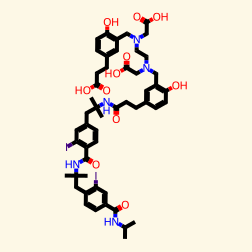 CC(C)NC(=O)c1ccc(CC(C)(C)NC(=O)c2ccc(CC(C)(C)NC(=O)CCc3ccc(O)c(CN(CCN(CC(=O)O)Cc4cc(CCC(=O)O)ccc4O)CC(=O)O)c3)cc2I)c(I)c1